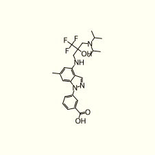 Cc1cc(NCC(O)(CN(C(C)C)C(C)C)C(F)(F)F)c2cnn(-c3cccc(C(=O)O)c3)c2c1